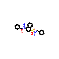 O=C(Nc1ccc(S(=O)(=O)NCc2ccccc2)c2ccccc12)c1ccccc1